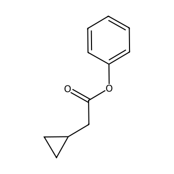 O=C(CC1CC1)Oc1ccccc1